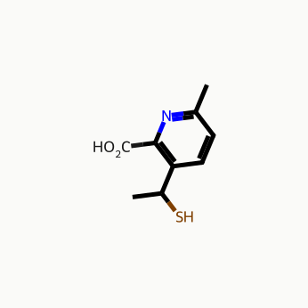 Cc1ccc(C(C)S)c(C(=O)O)n1